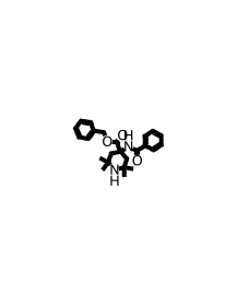 CC1(C)CC(NC(=O)c2ccccc2)(C(=O)OCc2ccccc2)CC(C)(C)N1